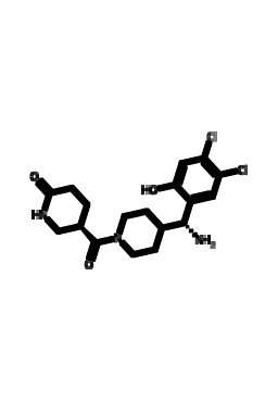 N[C@@H](c1cc(Cl)c(Cl)cc1O)C1CCN(C(=O)[C@@H]2CCC(=O)NC2)CC1